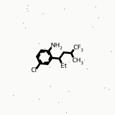 CCC(CC(C)C(F)(F)F)c1cc(Cl)ccc1N